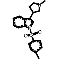 Cc1ccc(S(=O)(=O)n2cc(C3CCN(C)C3)c3ccccc32)cc1